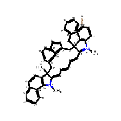 CN1/C(=C/C=C/C=C/C2=[N+](C)c3ccc(Br)cc3C2(CC2=CCC=C2)Cc2ccccc2)C(C)(Cc2ccccc2)c2ccc3ccccc3c21